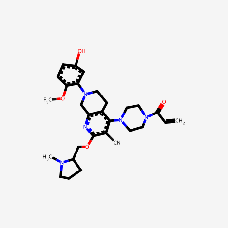 C=CC(=O)N1CCN(c2c(C#N)c(OCC3CCCN3C)nc3c2CCN(c2cc(O)ccc2OC(F)(F)F)C3)CC1